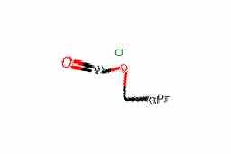 CCCC[O][V+]=[O].[Cl-]